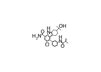 C=C(C)C(=O)Nc1cccc(-c2c(Cl)cc(C(N)=O)c3[nH]c4c(c23)CCC(C(C)(C)O)C4)c1